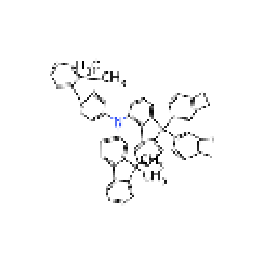 CC1(C)c2ccccc2-c2ccc(N(c3ccc4c(c3)C(C)(C)c3ccccc3-4)c3cccc4c3-c3ccccc3C4(c3ccc4c(c3)CC4)c3ccc4c(c3)CC4)cc21